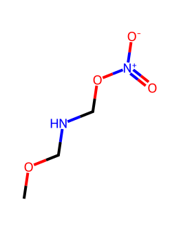 COCNCO[N+](=O)[O-]